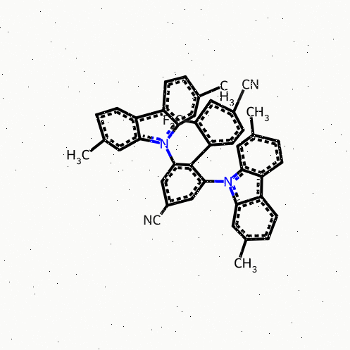 Cc1ccc2c3ccc(C)cc3n(-c3cc(C#N)cc(-n4c5cc(C)ccc5c5ccc(C)cc54)c3-c3ccc(C#N)cc3C(F)(F)F)c2c1